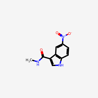 CNC(=O)c1c[nH]c2ccc([N+](=O)[O-])cc12